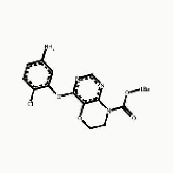 CC(C)(C)OC(=O)N1CCOc2c(Oc3cc(N)ccc3Cl)ncnc21